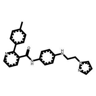 Cc1ccc(-c2ncccc2C(=O)Nc2ccc(NCCn3cccn3)cc2)cc1